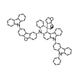 c1ccc(-n2c3ccccc3c3cc(-n4c5ccccc5c5c6c(ccc54)N(c4ccc5oc7ccc(-n8c9ccccc9c9ccccc98)cc7c5c4)c4ccccc4C64c5ccoc5-c5occc54)ccc32)cc1